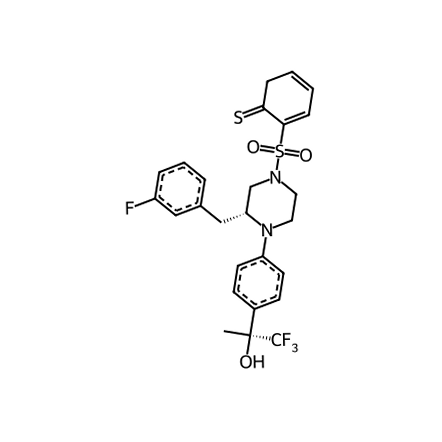 C[C@](O)(c1ccc(N2CCN(S(=O)(=O)C3=CC=CCC3=S)C[C@H]2Cc2cccc(F)c2)cc1)C(F)(F)F